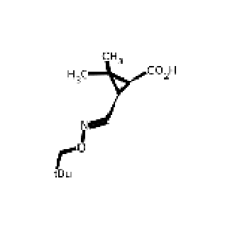 CC(C)(C)CON=C[C@@H]1[C@H](C(=O)O)C1(C)C